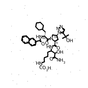 CC(C)(O)c1cnnn1[C@H]1C[C@@H](C(=O)NC(CCCCNC(=O)O)C(O)C(N)=O)N(C(=O)[C@@H](CC2CCCCC2)NC(=O)c2ccc3ccccc3c2)C1